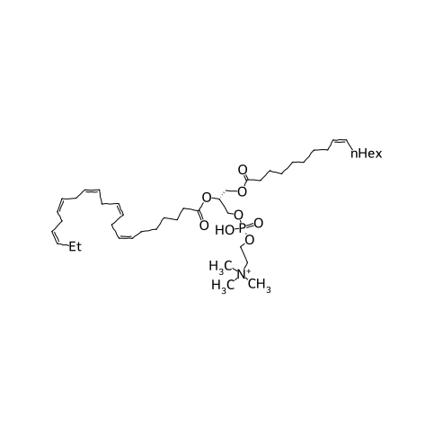 CC/C=C\C/C=C\C/C=C\C/C=C\C/C=C\CCCCCC(=O)O[C@H](COC(=O)CCCCCCC/C=C\CCCCCC)COP(=O)(O)OCC[N+](C)(C)C